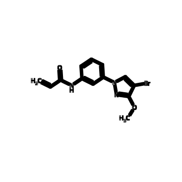 C=CC(=O)Nc1cccc(-n2cc(Br)c(OC)n2)c1